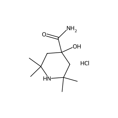 CC1(C)CC(O)(C(N)=O)CC(C)(C)N1.Cl